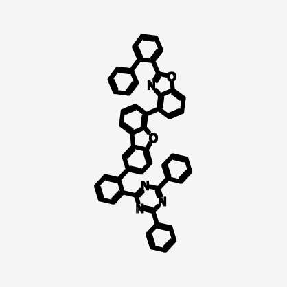 c1ccc(-c2nc(-c3ccccc3)nc(-c3ccccc3-c3ccc4oc5c(-c6cccc7oc(-c8ccccc8-c8ccccc8)nc67)cccc5c4c3)n2)cc1